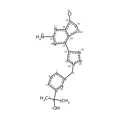 CC(C)(O)c1cccc(Cn2cc(-c3nc(N)nc4c(Cl)csc34)nn2)n1